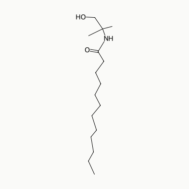 CCCCCCCCCCCC(=O)NC(C)(C)CO